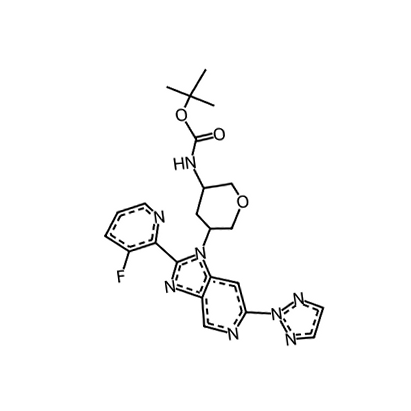 CC(C)(C)OC(=O)NC1COCC(n2c(-c3ncccc3F)nc3cnc(-n4nccn4)cc32)C1